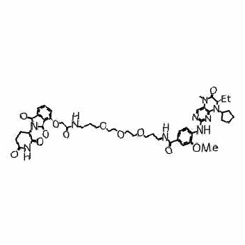 CCC1C(=O)N(C)c2cnc(Nc3ccc(C(=O)NCCCOCCOCCOCCCNC(=O)COc4cccc5c4C(=O)N(C4CCC(=O)NC4=O)C5=O)cc3OC)nc2N1C1CCCC1